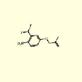 C=C(C)COc1ccc([N+](=O)[O-])c(C(F)F)c1